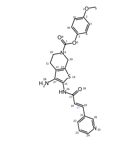 COc1ccc(OC(=O)N2CCc3c(sc(NC(=O)/C=C/c4cccnc4)c3N)C2)cc1